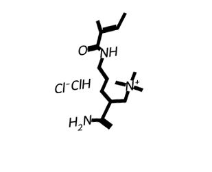 C=C(N)C(CCCNC(=O)C(C)=CC)C[N+](C)(C)C.Cl.[Cl-]